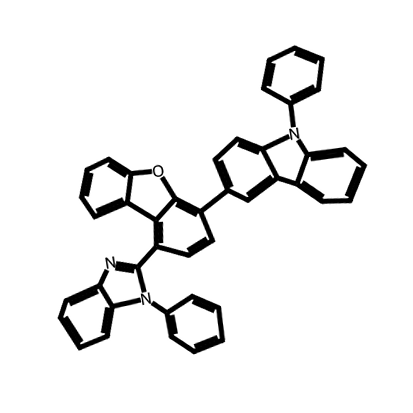 c1ccc(-n2c(-c3ccc(-c4ccc5c(c4)c4ccccc4n5-c4ccccc4)c4oc5ccccc5c34)nc3ccccc32)cc1